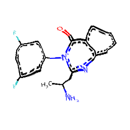 CC(N)c1nc2ccccc2c(=O)n1-c1cc(F)cc(F)c1